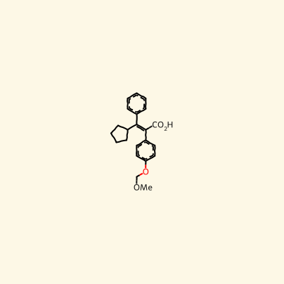 COCOc1ccc(/C(C(=O)O)=C(/c2ccccc2)C2CCCC2)cc1